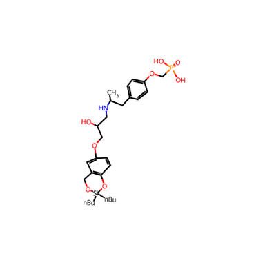 CCCC[Si]1(CCCC)OCc2cc(OCC(O)CNC(C)Cc3ccc(OCP(=O)(O)O)cc3)ccc2O1